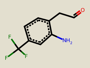 Nc1cc(C(F)(F)F)ccc1CC=O